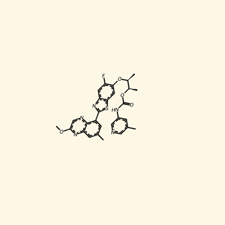 COc1cnc2c(-c3nc4cc(F)c(O[C@@H](C)[C@@H](C)OC(=O)Nc5cncc(C)c5)cc4s3)cc(C)cc2n1